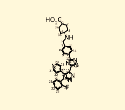 O=C(O)[C@H]1CC[C@H](NCc2ccc(-c3noc(-c4nnn(-c5ccccc5F)c4-c4ccncc4)n3)cc2)CC1